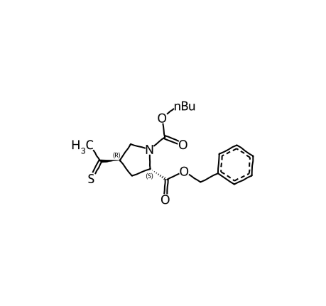 CCCCOC(=O)N1C[C@H](C(C)=S)C[C@H]1C(=O)OCc1ccccc1